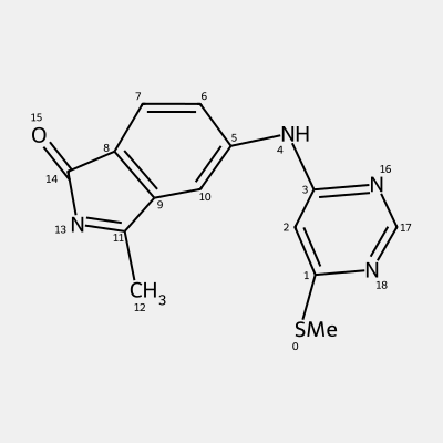 CSc1cc(Nc2ccc3c(c2)C(C)=NC3=O)ncn1